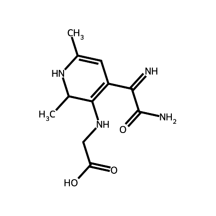 CC1=CC(C(=N)C(N)=O)=C(NCC(=O)O)C(C)N1